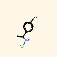 CCc1ccc(C(C)NCl)cc1